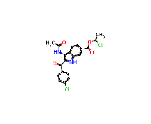 CC(=O)Nc1c(C(=O)c2ccc(Cl)cc2)[nH]c2cc(C(=O)OC(C)Cl)ccc12